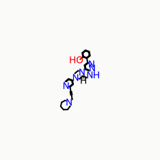 Oc1ccccc1-c1cc2c(nn1)NC[C@H]1CN(c3ccnc(C#CCN4CCCCCC4)c3)CCN21